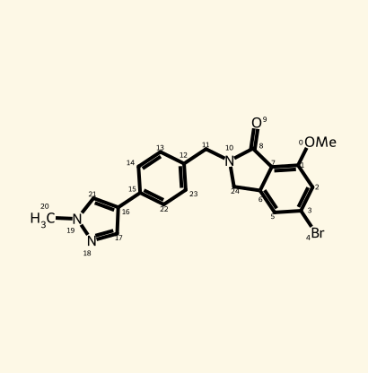 COc1cc(Br)cc2c1C(=O)N(Cc1ccc(-c3cnn(C)c3)cc1)C2